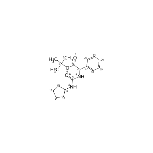 CC(C)(C)OC(=O)C(NC(=O)NC1CCCC1)c1ccccc1